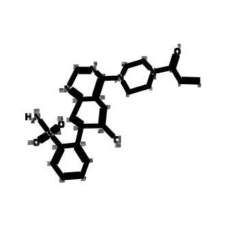 C=CC(=O)N1CCN(c2ncnc3cc(-c4ccccc4S(N)(=O)=O)c(Cl)cc23)CC1